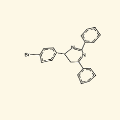 Brc1ccc(C2CC(c3ccccc3)=NC(c3ccccc3)=N2)cc1